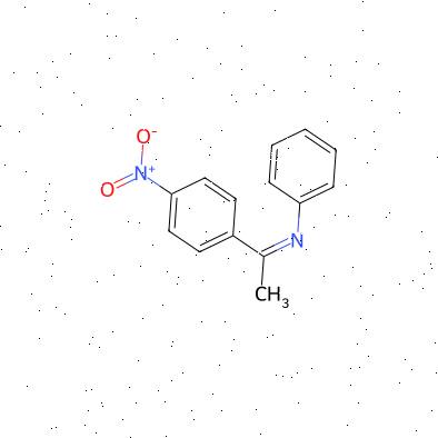 CC(=Nc1ccccc1)c1ccc([N+](=O)[O-])cc1